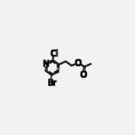 CC(=O)OCCc1cc(Br)cnc1Cl